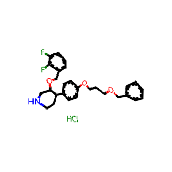 Cl.Fc1cccc(COC2CNCCC2c2ccc(OCCCOCc3ccccc3)cc2)c1F